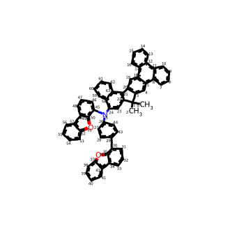 CC1(C)c2cc3c4ccccc4c4ccccc4c3cc2-c2c1cc(N(c1ccc(-c3cccc4c3oc3ccccc34)cc1)c1cccc3c1oc1ccccc13)c1ccccc21